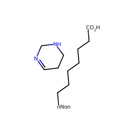 C1=NCNCC1.CCCCCCCCCCCCCCCC(=O)O